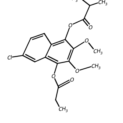 CCC(=O)Oc1c(OC)c(OC)c(OC(=O)C(C)C)c2ccc(Cl)cc12